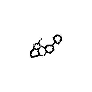 CCc1nc2cccc3c2n1-c1cc(-c2ccncc2)ccc1O3